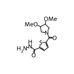 COC1CN(C(=O)c2ccc(C(=O)NN)s2)CC1OC